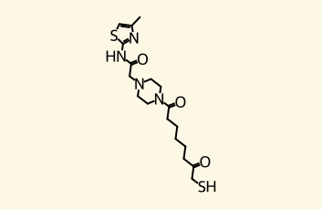 Cc1csc(NC(=O)CN2CCN(C(=O)CCCCCC(=O)CS)CC2)n1